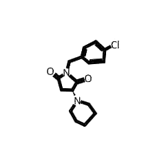 O=C1C[C@@H](N2CCCCC2)C(=O)N1Cc1ccc(Cl)cc1